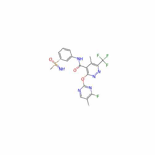 Cc1cnc(Oc2nnc(C(F)(F)F)c(C)c2C(=O)Nc2cccc(S(C)(=N)=O)c2)nc1F